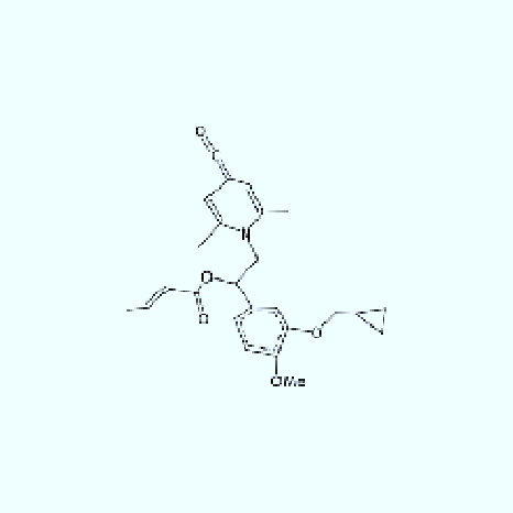 C/C=C/C(=O)OC(CN1C(C)=CC(=C=O)C=C1C)c1ccc(OC)c(OCC2CC2)c1